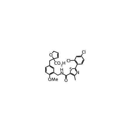 COc1ccc(CC2(C(=O)O)C=CCO2)cc1CNC(=O)c1sc(-c2ccc(Cl)cc2Cl)nc1C